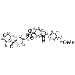 COCCc1ccc(-c2cc3ccc(S(=O)(=O)/N=C/C4CCC(C(=O)N5CCOC[C@@H]5C)CC4)cc3[nH]2)cc1